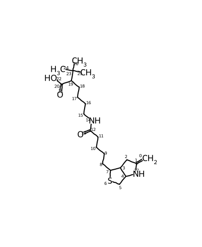 C=C1CC2C(CSC2CCCCC(=O)NCCCCC(C(=O)O)C(C)(C)C)N1